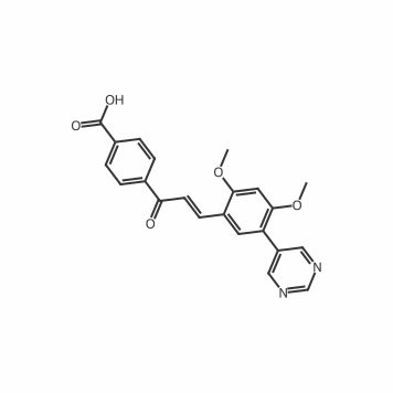 COc1cc(OC)c(-c2cncnc2)cc1/C=C/C(=O)c1ccc(C(=O)O)cc1